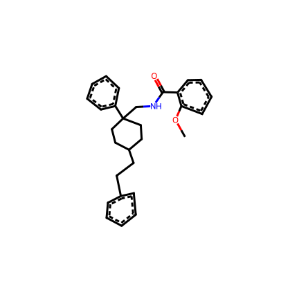 COc1ccccc1C(=O)NCC1(c2ccccc2)CCC(CCc2ccccc2)CC1